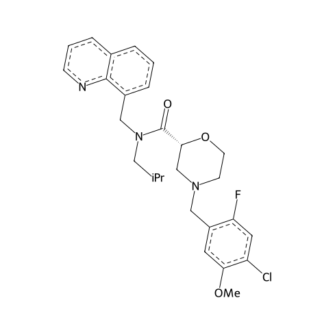 COc1cc(CN2CCO[C@@H](C(=O)N(Cc3cccc4cccnc34)CC(C)C)C2)c(F)cc1Cl